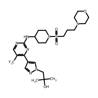 CC(C)(O)Cn1cc(-c2nc(NC3CCN(S(=O)(=O)CCCN4CCOCC4)CC3)ncc2C(F)(F)F)cn1